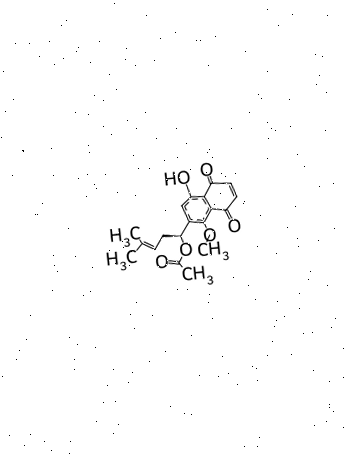 COc1c([C@H](CC=C(C)C)OC(C)=O)cc(O)c2c1C(=O)C=CC2=O